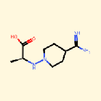 C[C@H](NN1CCC(C(=N)N)CC1)C(=O)O